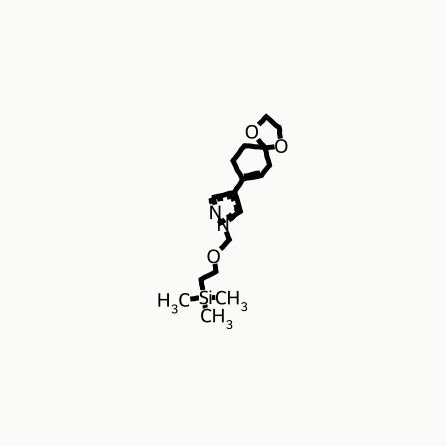 C[Si](C)(C)CCOCn1cc(C2=CCC3(CC2)OCCO3)cn1